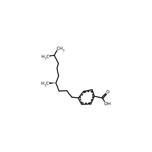 CC(C)CCC[C@H](C)CCCc1ccc(C(=O)O)cc1